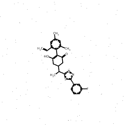 C=Cc1cc(C)cc(C)c1C1=C(O)CC(C(C)c2nnc(-c3cccc(F)c3)s2)CC1=O